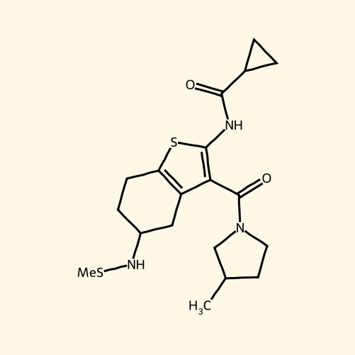 CSNC1CCc2sc(NC(=O)C3CC3)c(C(=O)N3CCC(C)C3)c2C1